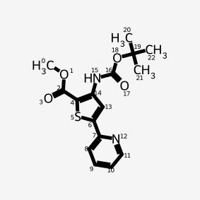 COC(=O)c1sc(-c2ccccn2)cc1NC(=O)OC(C)(C)C